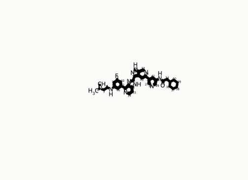 CN(C)CCNc1cc(F)cc(-c2nccc3[nH]c(-c4n[nH]c5cnc(-c6cncc(NC(=O)CC7CCCCC7)c6)cc45)nc23)c1